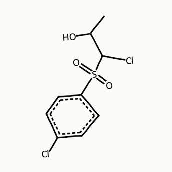 CC(O)C(Cl)S(=O)(=O)c1ccc(Cl)cc1